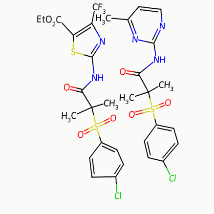 CCOC(=O)c1sc(NC(=O)C(C)(C)S(=O)(=O)c2ccc(Cl)cc2)nc1C(F)(F)F.Cc1ccnc(NC(=O)C(C)(C)S(=O)(=O)c2ccc(Cl)cc2)n1